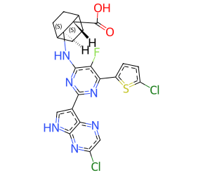 O=C(O)[C@H]1C2CCC(CC2)[C@@H]1Nc1nc(-c2c[nH]c3nc(Cl)cnc23)nc(-c2ccc(Cl)s2)c1F